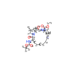 CCOC(=O)[C@@]12C[C@H]1/C=C\CCCCC[C@H](NC(=O)OC(C)(C)C)C(=O)N1C[C@@H](C)C[C@H]1C(=O)N2